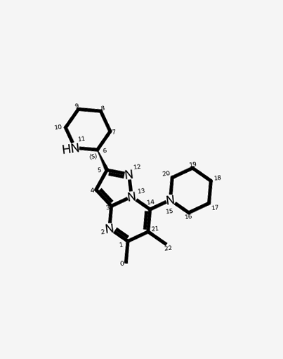 Cc1nc2cc([C@@H]3CCCCN3)nn2c(N2CCCCC2)c1C